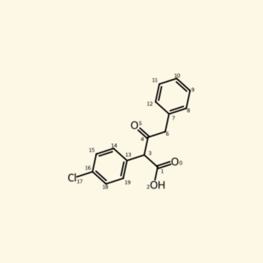 O=C(O)C(C(=O)Cc1ccccc1)c1ccc(Cl)cc1